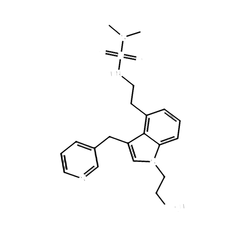 CN(C)S(=O)(=O)NCCc1cccc2c1c(Cc1cccnc1)cn2CCC(=O)O